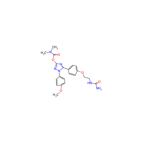 COc1ccc(-n2nc(OC(=O)N(C)C)nc2-c2ccc(OCCNC(N)=O)cc2)cc1